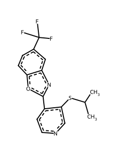 CC(C)Sc1cnccc1-c1nc2cc(C(F)(F)F)ccc2o1